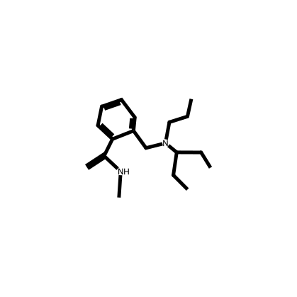 C=C(NC)c1ccccc1CN(CCC)C(CC)CC